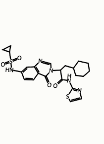 O=C(Nc1nccs1)C(CC1CCCCC1)n1cnc2cc(NS(=O)(=O)C3CC3)ccc2c1=O